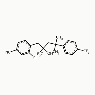 CC(C)(CC(O)(Cc1ccc(C#N)cc1Cl)C(F)(F)F)c1ccc(C(F)(F)F)cc1